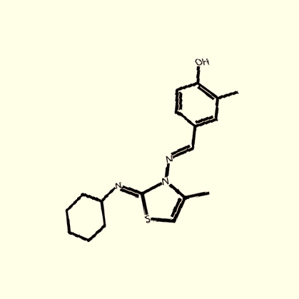 Cc1cc(/C=N/n2c(C)cs/c2=N\C2CCCCC2)ccc1O